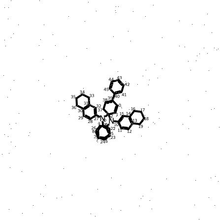 C1=CC(N(c2ccccc2)c2ccc3c(c2)CCCC3)(N(c2ccccc2)c2ccc3c(c2)CCCC3)CC=C1c1ccccc1